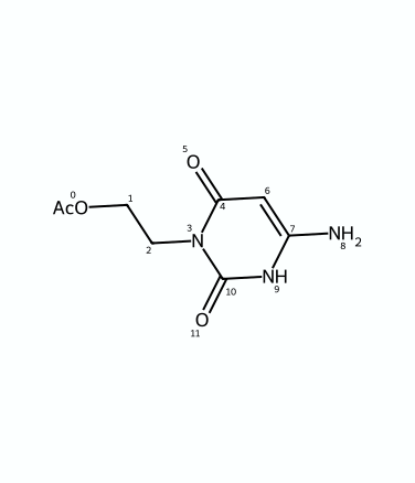 CC(=O)OCCn1c(=O)cc(N)[nH]c1=O